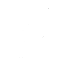 COc1ccc(C)c(OC)c1C1(C(=O)NS(=O)(=O)c2cccc3[nH]ccc23)CC1